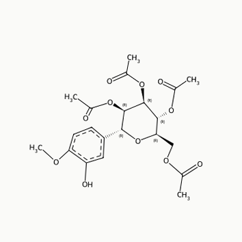 COc1ccc([C@H]2O[C@H](COC(C)=O)[C@@H](OC(C)=O)[C@H](OC(C)=O)[C@@H]2OC(C)=O)cc1O